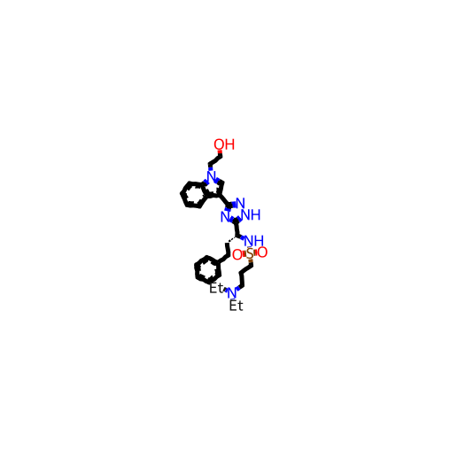 CCN(CC)CCCS(=O)(=O)N[C@H](CCc1ccccc1)c1nc(-c2cn(CCO)c3ccccc23)n[nH]1